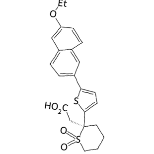 CCOc1ccc2cc(-c3ccc([C@@]4(CC(=O)O)CCCCS4(=O)=O)s3)ccc2c1